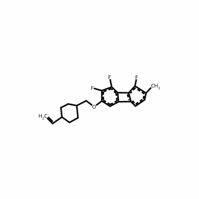 C=CC1CCC(COc2cc3c(c(F)c2F)-c2c-3ccc(C)c2F)CC1